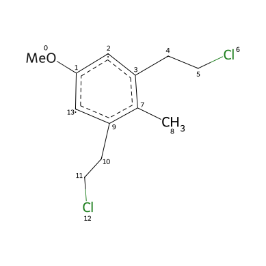 COc1[c]c(CCCl)c(C)c(CCCl)[c]1